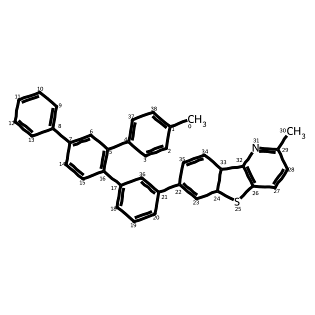 Cc1ccc(-c2cc(-c3ccccc3)ccc2-c2cccc(C3=CC4Sc5ccc(C)nc5C4C=C3)c2)cc1